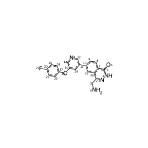 NCc1n[nH]c(=O)c2ccc(-c3cncc(Oc4ccc(F)cc4)c3)cc12